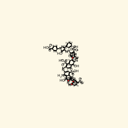 Nc1c(/N=N\c2ccc3c(O)c(/N=N\c4ccc(/N=N/c5c(-c6ccccc6)nn(-c6ccc(S(=O)(=O)O)cc6)c5O)c(S(=O)(=O)O)c4)c(S(=O)(=O)O)cc3c2S(=O)(=O)O)cc(S(=O)(=O)O)c2cc(S(=O)(=O)O)c(/N=N\c3ccc([N+](=O)[O-])cc3S(=O)(=O)O)c(O)c12